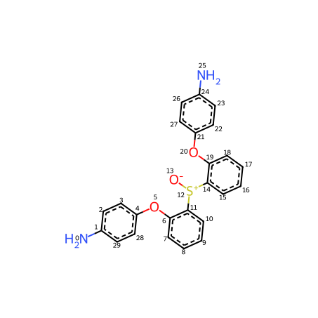 Nc1ccc(Oc2ccccc2[S+]([O-])c2ccccc2Oc2ccc(N)cc2)cc1